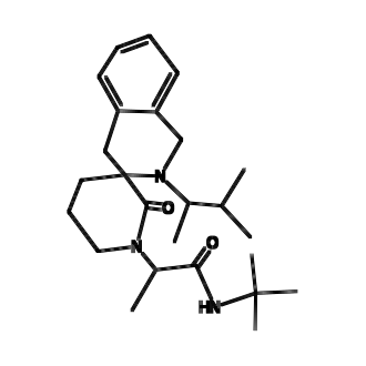 CC(C)C(C)N1Cc2ccccc2CC12CCCN(C(C)C(=O)NC(C)(C)C)C2=O